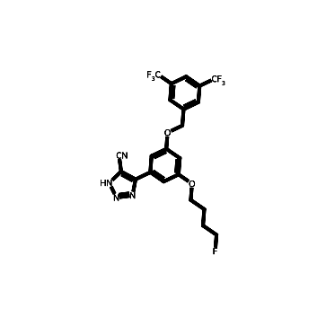 N#Cc1[nH]nnc1-c1cc(OCCCCF)cc(OCc2cc(C(F)(F)F)cc(C(F)(F)F)c2)c1